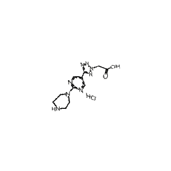 Cl.O=C(O)Cn1nnc(-c2cnc(N3CCNCC3)nc2)n1